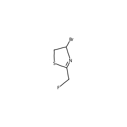 FCC1=NC(Br)CS1